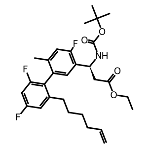 C=CCCCCc1cc(F)cc(F)c1-c1cc([C@H](CC(=O)OCC)NC(=O)OC(C)(C)C)c(F)cc1C